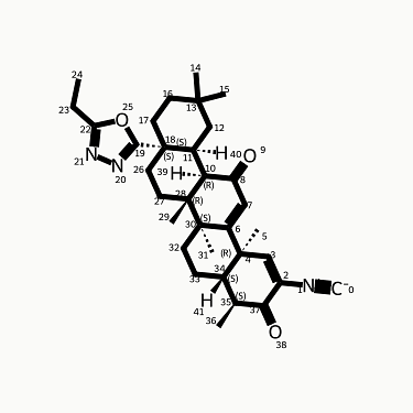 [C-]#[N+]C1=C[C@]2(C)C3=CC(=O)[C@@H]4[C@@H]5CC(C)(C)CC[C@]5(c5nnc(CC)o5)CC[C@@]4(C)[C@]3(C)CC[C@H]2[C@H](C)C1=O